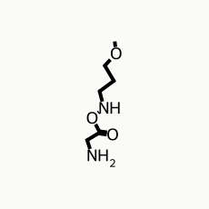 COCCCNOC(=O)CN